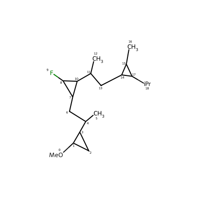 COC1CC1C(C)CC1C(F)C1C(C)CC1C(C)C1C(C)C